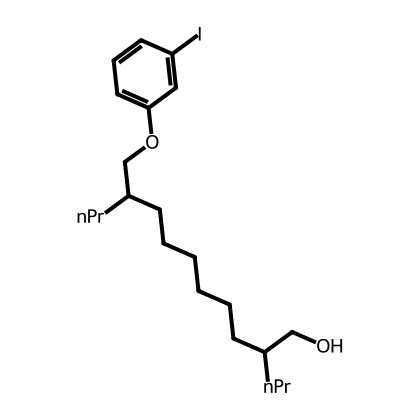 CCCC(CO)CCCCCCC(CCC)COc1cccc(I)c1